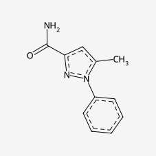 Cc1cc(C(N)=O)nn1-c1ccccc1